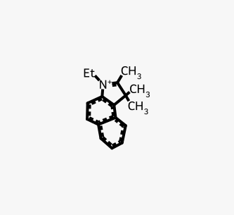 CC[N+]1=C(C)C(C)(C)c2c1ccc1ccccc21